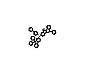 CC1(C)c2cc(N(c3ccc(-c4ccccc4)cc3)c3ccc4c(c3)C(c3ccccc3)(c3ccccc3)c3ccccc3-4)ccc2-c2cc(-c3ccccc3)c3ccccc3c21